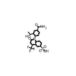 CC(O)c1cc(C(N)=O)ccc1-n1c(=O)cc(C(F)(F)F)c2cc(S(=O)(=O)O)ccc21